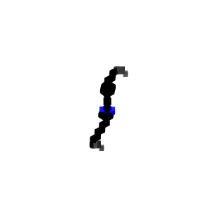 CCCCCCCc1cnc(C#Cc2ccc(CCCC)cc2)nc1